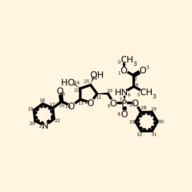 COC(=O)C(C)N[P@@](=O)(OC[C@H]1OC(OC(=O)c2cccnc2)[C@H](O)[C@@H]1O)Oc1ccccc1